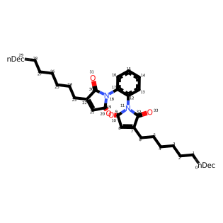 CCCCCCCCCCCCCCCCC1=CC(=O)N(c2ccccc2N2C(=O)C=C(CCCCCCCCCCCCCCCC)C2=O)C1=O